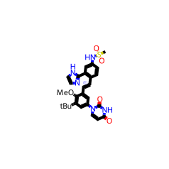 COc1c(/C=C/c2ccc(NS(C)(=O)=O)cc2-c2ncc[nH]2)cc(-n2ccc(=O)[nH]c2=O)cc1C(C)(C)C